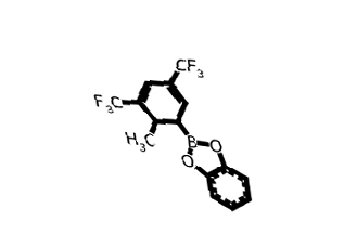 CC1C(C(F)(F)F)=CC(C(F)(F)F)=CC1B1Oc2ccccc2O1